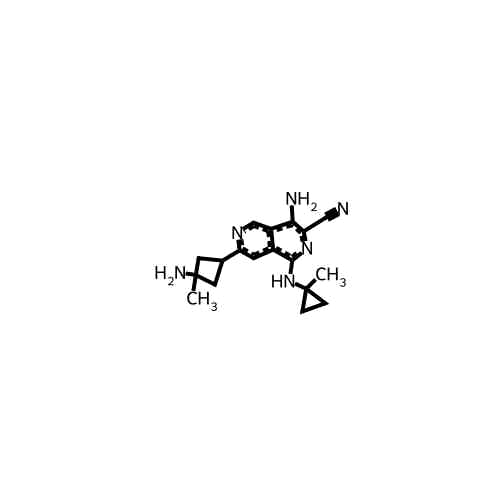 CC1(N)CC(c2cc3c(NC4(C)CC4)nc(C#N)c(N)c3cn2)C1